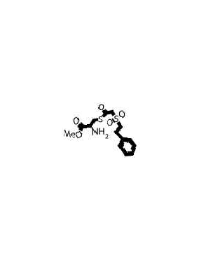 COC(=O)[C@@H](N)CSC(=O)CS(=O)(=O)CCc1ccccc1